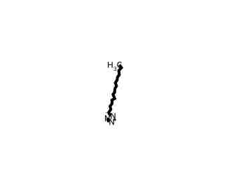 CCCCCCCCCCCCCCCC[CH]c1ncncn1